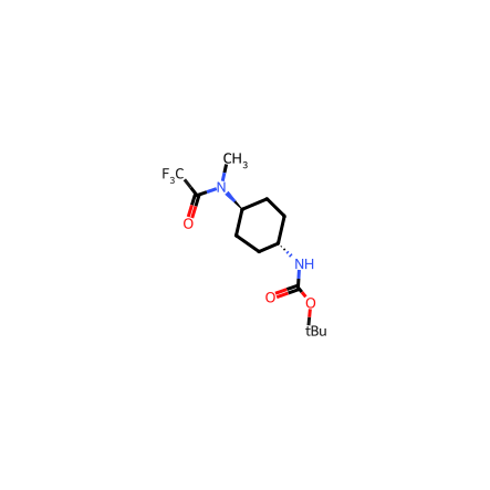 CN(C(=O)C(F)(F)F)[C@H]1CC[C@H](NC(=O)OC(C)(C)C)CC1